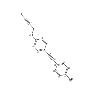 CC#CCOc1ccc(C#Cc2ccc(CCC)cc2)cc1